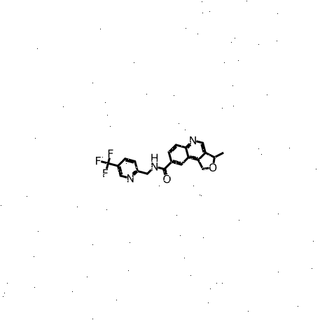 CC1OCc2c1cnc1ccc(C(=O)NCc3ccc(C(F)(F)F)cn3)cc21